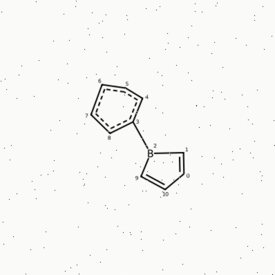 C1=CB(c2ccccc2)C=C1